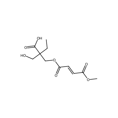 CCC(CO)(COC(=O)/C=C/C(=O)OC)C(=O)O